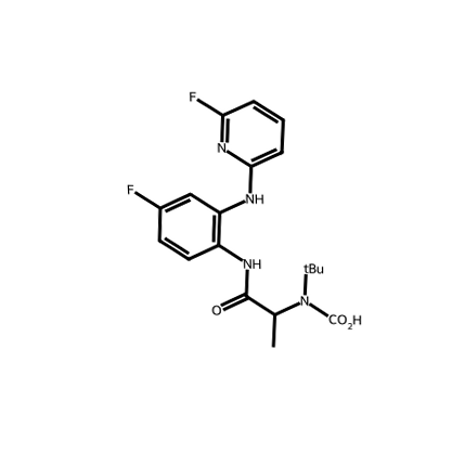 CC(C(=O)Nc1ccc(F)cc1Nc1cccc(F)n1)N(C(=O)O)C(C)(C)C